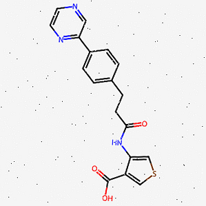 O=C(CCc1ccc(-c2cnccn2)cc1)Nc1cscc1C(=O)O